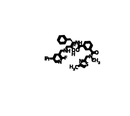 Cc1csc(CN(C)C(=O)c2cccc(C(=O)N[C@@H](Cc3ccccc3)[C@H](O)CNCc3cc(C(C)C)cnc3F)c2)n1